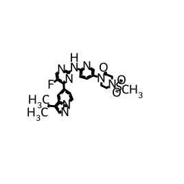 CC(C)c1cnn2ccc(-c3nc(Nc4ccc(N5CCN(S(C)(=O)=O)CC5=O)cn4)ncc3F)cc12